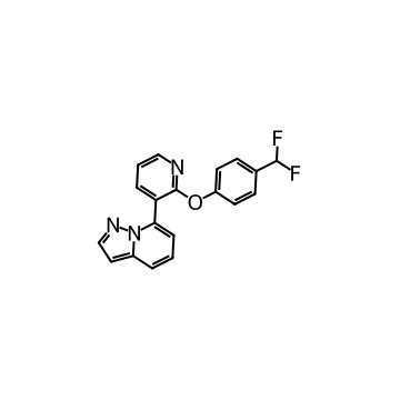 FC(F)c1ccc(Oc2ncccc2-c2cccc3ccnn23)cc1